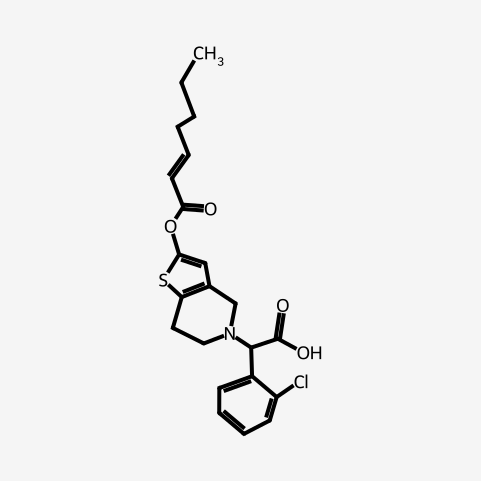 CCCC/C=C/C(=O)Oc1cc2c(s1)CCN(C(C(=O)O)c1ccccc1Cl)C2